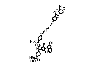 C[C@H](CN1CCC(OCCOCCOCCOc2ccc3c(c2)CN(C2CCC(=O)NC2=O)C3=O)CC1)Oc1nc(N2CCN(C(=O)C(O)O)CC2)c2cc(Cl)c(-c3cc(O)cc4ccccc34)c(F)c2n1